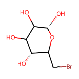 OC1C(O)[C@H](O)OC(CBr)[C@@H]1O